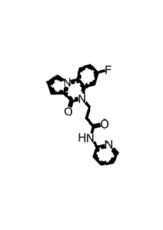 O=C(CCn1c(=O)c2cccn2c2ccc(F)cc21)Nc1ccccn1